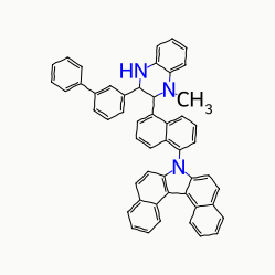 CN1c2ccccc2NC(c2cccc(-c3ccccc3)c2)C1c1cccc2c(-n3c4ccc5ccccc5c4c4c5ccccc5ccc43)cccc12